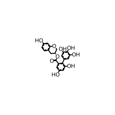 O=C(O[C@@H]1COc2cc(O)ccc2C1)c1cc(O)cc(O)c1-c1cc(O)c(O)c(O)c1